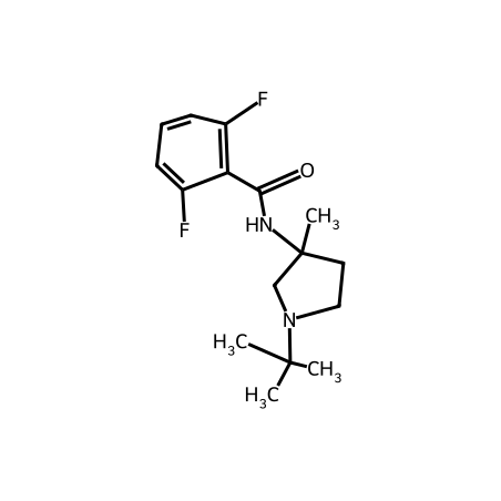 CC1(NC(=O)c2c(F)cccc2F)CCN(C(C)(C)C)C1